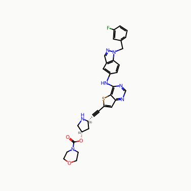 O=C(O[C@@H]1CN[C@H](C#Cc2cc3ncnc(Nc4ccc5c(cnn5Cc5cccc(F)c5)c4)c3s2)C1)N1CCOCC1